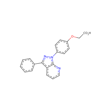 O=C(O)COc1ccc(-n2nc(-c3ccccc3)c3cccnc32)cc1